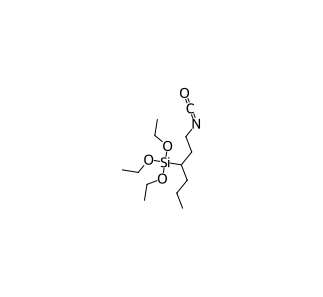 CCCC(CCN=C=O)[Si](OCC)(OCC)OCC